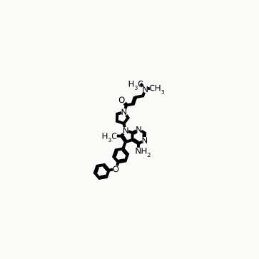 Cc1c(-c2ccc(Oc3ccccc3)cc2)c2c(N)ncnc2n1C1CCN(C(=O)C=CCN(C)C)C1